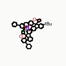 CC(C)(C)c1ccc2c(c1)C1(c3ccccc3Oc3ccc(N(c4ccc(-c5ccccc5)cc4)c4ccc5c(c4)C4(c6cc(C7CCCCC7)ccc6Oc6ccc(C7CCCCC7)cc64)c4ccccc4-5)cc31)c1cc(C(C)(C)C)ccc1-2